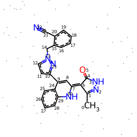 CC1=NNC(=O)C1=C1C=C(c2ccn(Cc3ccccc3C#N)n2)c2ccccc2N1